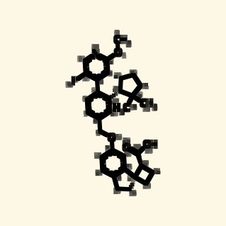 COc1cc(-c2ccc(COc3ccc4c(c3)[C@]3(CC4)CC[C@@H]3C(=O)O)cc2[C@@H]2CCCC2(C)C)c(F)cn1